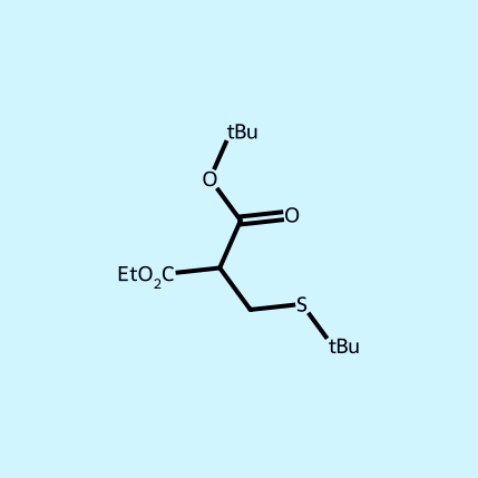 CCOC(=O)C(CSC(C)(C)C)C(=O)OC(C)(C)C